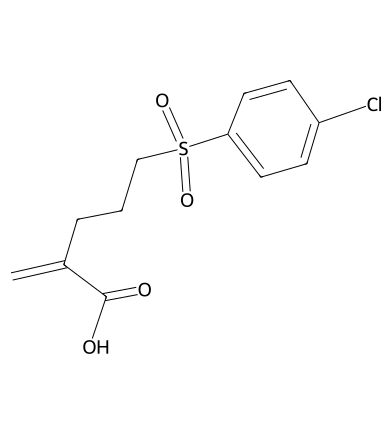 C=C(CCCS(=O)(=O)c1ccc(Cl)cc1)C(=O)O